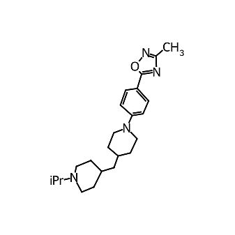 Cc1noc(-c2ccc(N3CCC(CC4CCN(C(C)C)CC4)CC3)cc2)n1